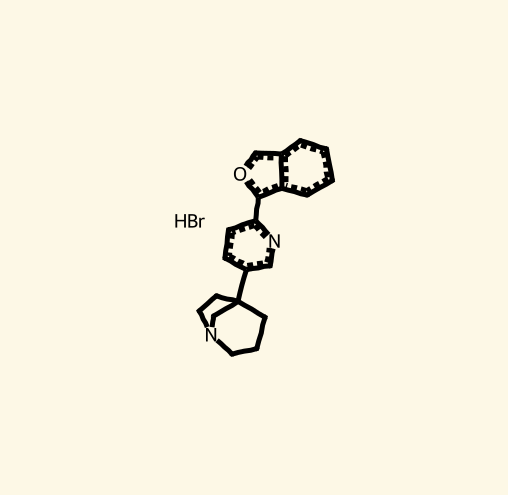 Br.c1ccc2c(-c3ccc(C45CCCN(CC4)C5)cn3)occ2c1